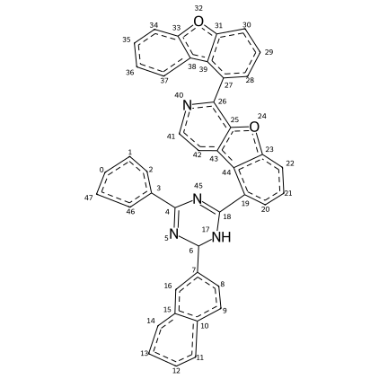 c1ccc(C2=NC(c3ccc4ccccc4c3)NC(c3cccc4oc5c(-c6cccc7oc8ccccc8c67)nccc5c34)=N2)cc1